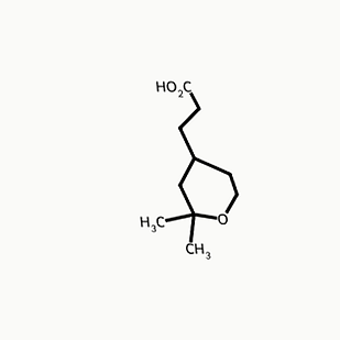 CC1(C)CC(CCC(=O)O)CCO1